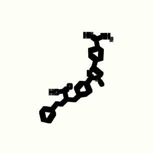 Cn1cc(-c2ccc(C(=N)N)cc2)nc1-c1ccc(CC(CCc2ccccc2)C(=O)O)cc1